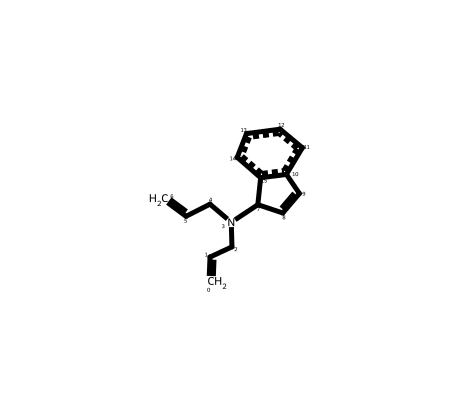 C=CCN(CC=C)C1C=Cc2ccccc21